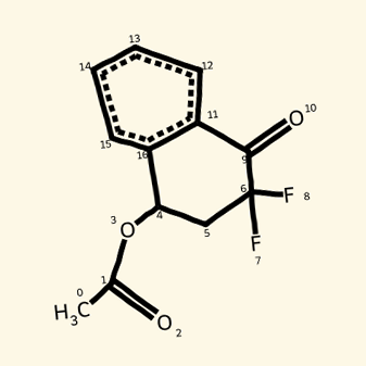 CC(=O)OC1CC(F)(F)C(=O)c2ccccc21